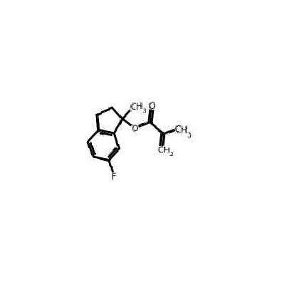 C=C(C)C(=O)OC1(C)CCc2ccc(F)cc21